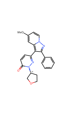 COc1ccn2nc(-c3ccccc3)c(-c3ccc(=O)n([C@H]4CCOC4)n3)c2c1